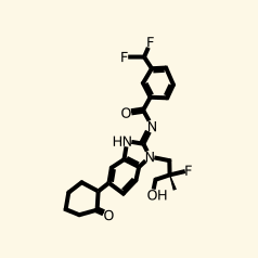 C[C@@](F)(CO)Cn1/c(=N/C(=O)c2cccc(C(F)F)c2)[nH]c2cc(C3CCCCC3=O)ccc21